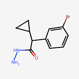 NNC(=O)C(c1cccc(Br)c1)C1CC1